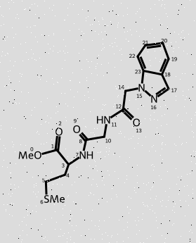 COC(=O)C(CCSC)NC(=O)CNC(=O)Cn1ncc2ccccc21